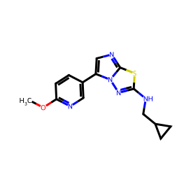 COc1ccc(-c2cnc3sc(NCC4CC4)nn23)cn1